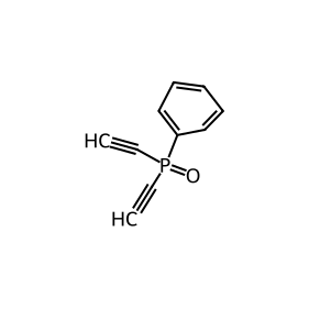 C#CP(=O)(C#C)c1ccccc1